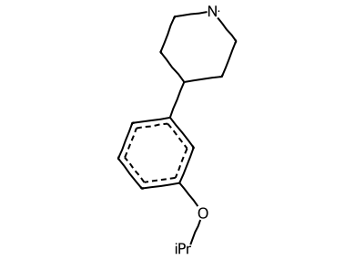 CC(C)Oc1cccc(C2CC[N]CC2)c1